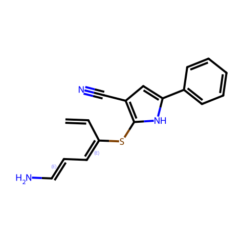 C=C/C(=C\C=C\N)Sc1[nH]c(-c2ccccc2)cc1C#N